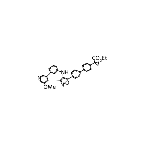 CCOC(=O)C1(c2ccc(-c3ccc(-c4onc(C)c4Nc4cccc(-c5cncc(OC)c5)c4)cc3)cc2)CC1